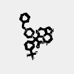 NC(=O)C(C1=NCc2cnn3c2N1CC=C3)(c1cccc(C(F)(F)F)c1)N1CCN(Cc2ccccc2)CC1